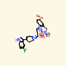 CC(C)N1Cc2cc([S+](C)[O-])ccc2N(CCN2CC=C(c3c[nH]c4ccc(F)cc34)CC2)S1(=O)=O